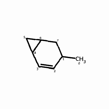 CC1C=CC2CC2C1